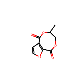 CC1COC(=O)c2occc2C(=O)O1